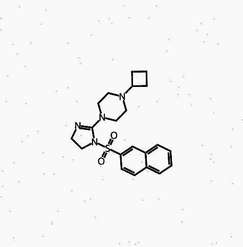 O=S(=O)(c1ccc2ccccc2c1)N1CCN=C1N1CCN(C2CCC2)CC1